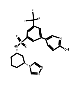 O=S(=O)(N[C@H]1CCC[C@@H](n2cnnc2)C1)c1cc(-c2ccc(O)nc2)cc(C(F)(F)F)c1